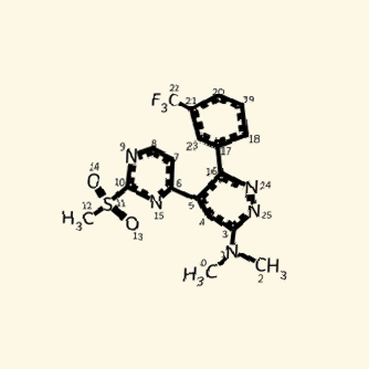 CN(C)c1cc(-c2ccnc(S(C)(=O)=O)n2)c(-c2cccc(C(F)(F)F)c2)nn1